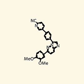 COc1ccc(-c2ccc3ncc(-c4ccc(-c5ccc(C#N)nc5)cc4)n3n2)cc1OC